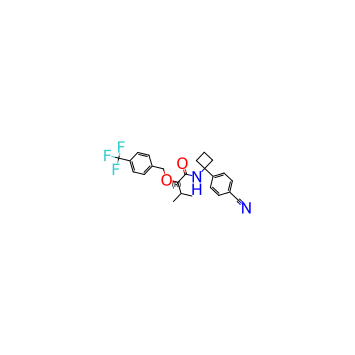 CC(C)[C@@H](OCc1ccc(C(F)(F)F)cc1)C(=O)NC1(c2ccc(C#N)cc2)CCC1